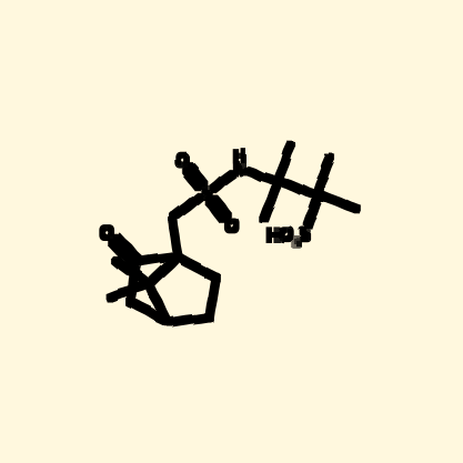 CC(C)(NS(=O)(=O)CC12CCC(CC1=O)C2(C)C)C(C)(C)S(=O)(=O)O